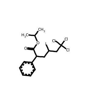 CC(C)OC(=O)C(CC(I)CC(Cl)(Cl)Cl)c1ccccc1